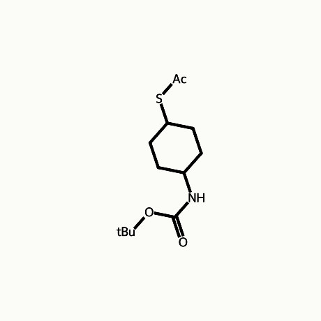 CC(=O)SC1CCC(NC(=O)OC(C)(C)C)CC1